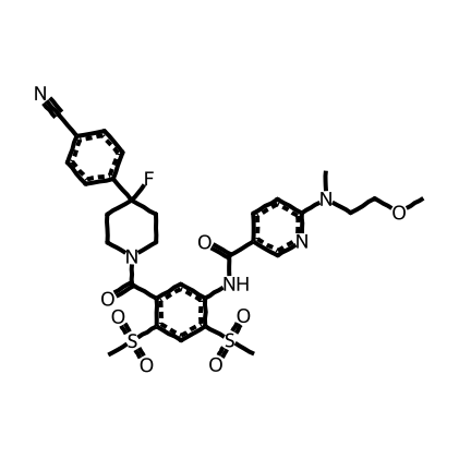 COCCN(C)c1ccc(C(=O)Nc2cc(C(=O)N3CCC(F)(c4ccc(C#N)cc4)CC3)c(S(C)(=O)=O)cc2S(C)(=O)=O)cn1